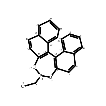 ClCp1oc2ccc3ccccc3c2c2c(ccc3ccccc32)o1